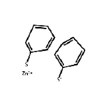 [S-]c1ccccc1.[S-]c1ccccc1.[Zn+2]